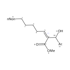 CCCCCCCCCCCCC/C=C(\C(=O)OC)C(O)C(C)=O